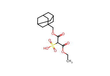 CCOC(=O)C(C(=O)OCC12CC3CC(CC(C3)C1)C2)S(=O)(=O)O